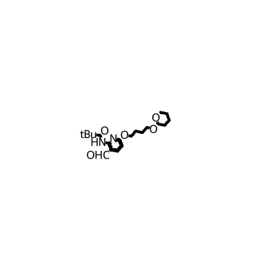 CC(C)(C)C(=O)Nc1nc(OCCCCOC2CCCCO2)ccc1C=O